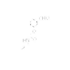 C#CCNC(=O)COc1cccc(C=O)c1